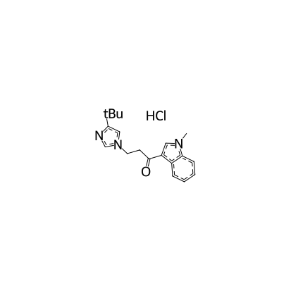 Cl.Cn1cc(C(=O)CCn2cnc(C(C)(C)C)c2)c2ccccc21